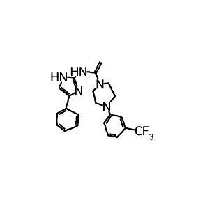 C=C(Nc1nc(-c2ccccc2)c[nH]1)N1CCN(c2cccc(C(F)(F)F)c2)CC1